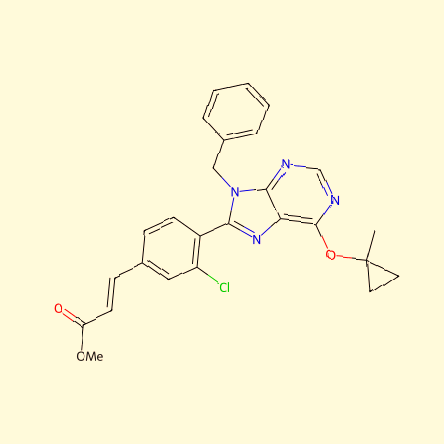 COC(=O)/C=C/c1ccc(-c2nc3c(OC4(C)CC4)ncnc3n2Cc2ccccc2)c(Cl)c1